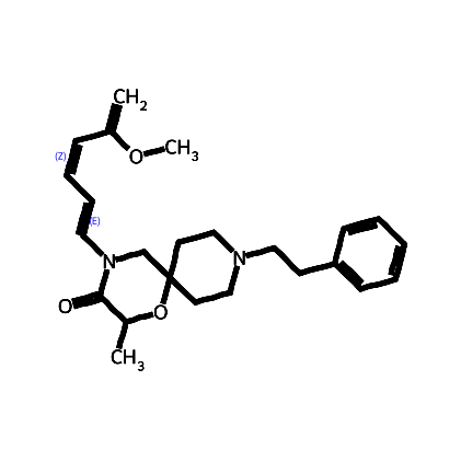 C=C(/C=C\C=C\N1CC2(CCN(CCc3ccccc3)CC2)OC(C)C1=O)OC